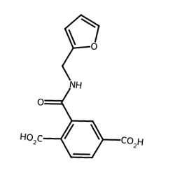 O=C(O)c1ccc(C(=O)O)c(C(=O)NCc2ccco2)c1